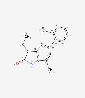 CSC1C(=O)Nc2c(C)cc(-c3ccccc3C)cc21